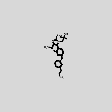 CCCC(C)c1nc2c(N)nc3cc(Cc4cccc(CCN)c4)ccc3c2n1CC(C)(C)O